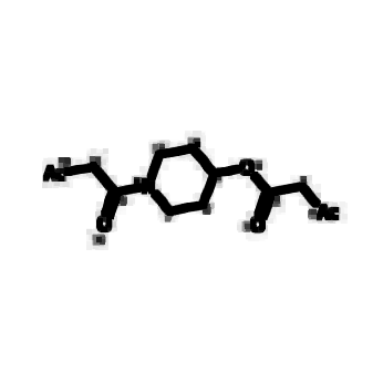 CC(=O)CC(=O)OC1CCN(C(=O)CC(C)=O)CC1